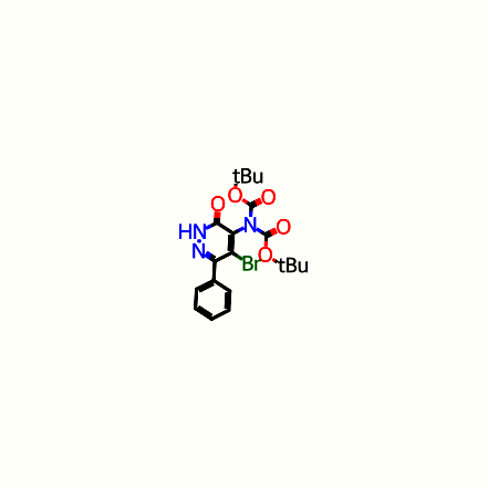 CC(C)(C)OC(=O)N(C(=O)OC(C)(C)C)c1c(Br)c(-c2ccccc2)n[nH]c1=O